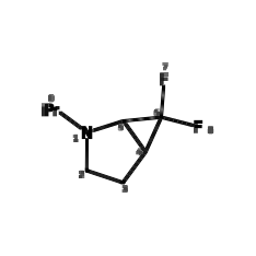 CC(C)N1CCC2C1C2(F)F